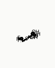 [CH2]C(CCCSCCNC[C@@H](O)c1ccc(O)c2[nH]c(=O)sc12)c1cccc(C(F)(F)F)c1